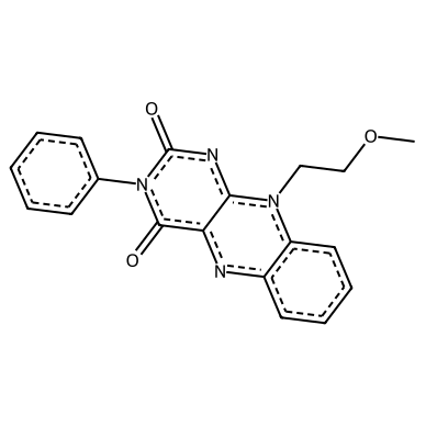 COCCn1c2nc(=O)n(-c3ccccc3)c(=O)c-2nc2ccccc21